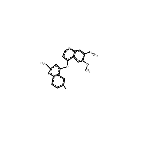 COc1cc2nccc(Oc3cc(C)nc4ccc(F)cc34)c2cc1OC